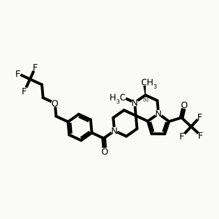 C[C@H]1Cn2c(C(=O)C(F)(F)F)ccc2C2(CCN(C(=O)c3ccc(COCCC(F)(F)F)cc3)CC2)N1C